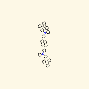 c1ccc(-c2ccccc2-c2ccccc2-c2cccc(N(c3ccccc3)c3ccc(-c4ccc5ccc6c(-c7ccc(N(c8ccccc8)c8cccc(C9(c%10ccccc%10)c%10ccccc%10-c%10ccccc%109)c8)cc7)ccc7ccc4c5c76)cc3)c2)cc1